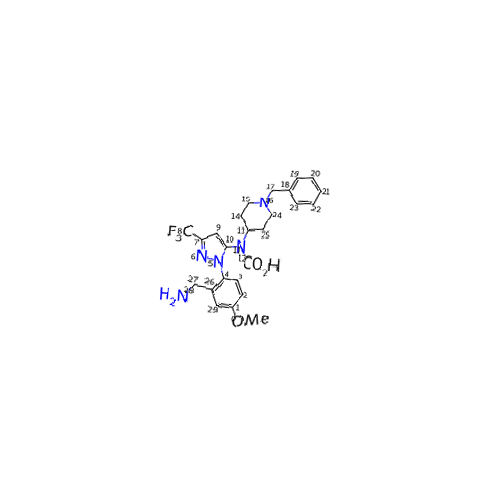 COc1ccc(-n2nc(C(F)(F)F)cc2N(C(=O)O)C2CCN(Cc3ccccc3)CC2)c(CN)c1